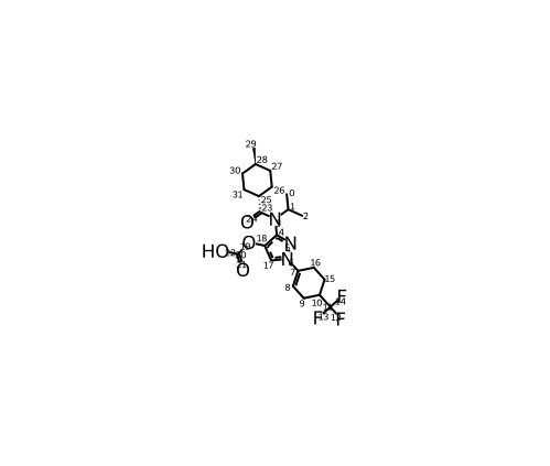 CC(C)N(c1nn(C2=CCC(C(F)(F)F)CC2)cc1OC(=O)O)C(=O)[C@H]1CC[C@H](C)CC1